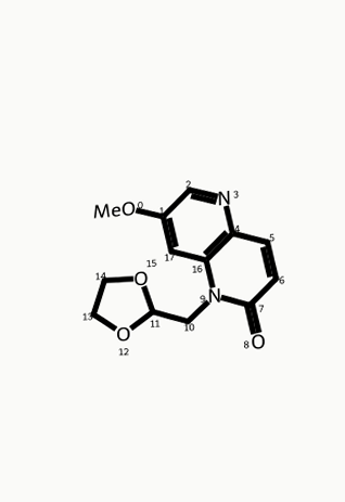 COc1cnc2ccc(=O)n(CC3OCCO3)c2c1